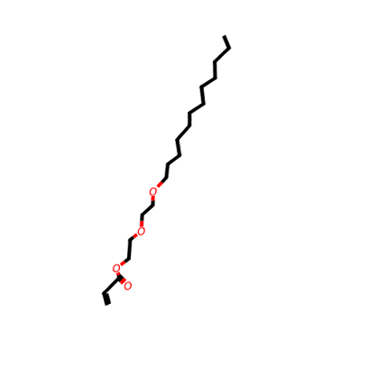 C=CC(=O)OCCOCCOCCCCCCCCCCCC